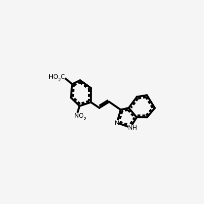 O=C(O)c1ccc(/C=C/c2n[nH]c3ccccc23)c([N+](=O)[O-])c1